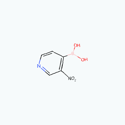 O=[N+]([O-])c1cnccc1B(O)O